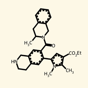 CCOC(=O)c1cc(-c2cc3c(cc2C(=O)N2Cc4ccccc4CC2C)CNCC3)n(C)c1C